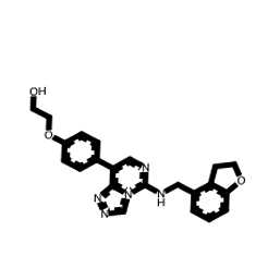 OCCOc1ccc(-c2cnc(NCc3cccc4c3CCO4)n3cnnc23)cc1